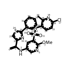 C=C(Nc1cnc(OC)c(S(=O)(=O)Nc2ccc(Cl)nc2C)c1)c1csc(-c2ccccc2)n1